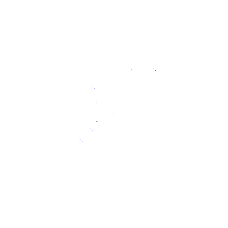 N#Cc1ccc(COc2cccc(-c3ccc(Cc4nc5ccc(C(=O)O)cc5n4C[C@@H]4CCO4)cc3F)n2)cn1